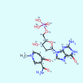 Cn1ccc(=O)c(C(N)=O)c1.Nc1nc2c(ncn2[C@H]2C[C@H](O)[C@@H](COP(=O)(O)O)O2)c(=O)[nH]1